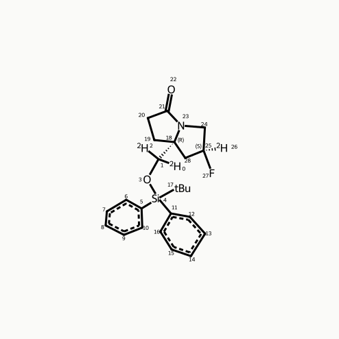 [2H]C([2H])(O[Si](c1ccccc1)(c1ccccc1)C(C)(C)C)[C@]12CCC(=O)N1C[C@@]([2H])(F)C2